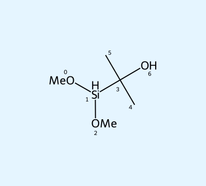 CO[SiH](OC)C(C)(C)O